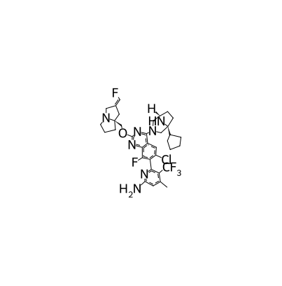 Cc1cc(N)nc(-c2c(Cl)cc3c(N4C[C@@H]5CC[C@](C6CCCC6)(C4)N5)nc(OC[C@@]45CCCN4C/C(=C\F)C5)nc3c2F)c1C(F)(F)F